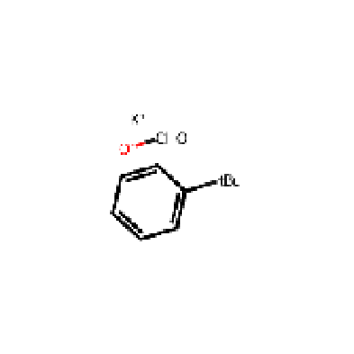 CC(C)(C)c1ccccc1.O=C[O-].[K+]